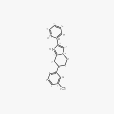 N#Cc1cccc(C2CCn3cc(-c4ccccn4)nc3C2)c1